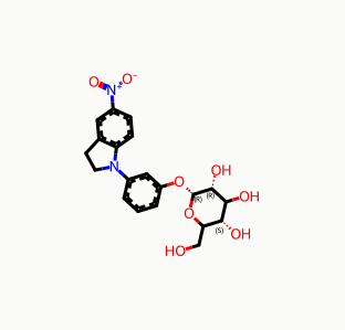 O=[N+]([O-])c1ccc2c(c1)CCN2c1cccc(O[C@H]2OC(CO)[C@@H](O)C(O)[C@H]2O)c1